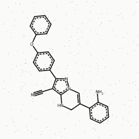 N#Cc1c(-c2ccc(Oc3ccccc3)cc2)nn2c1NCC(c1ccccc1N)=C2